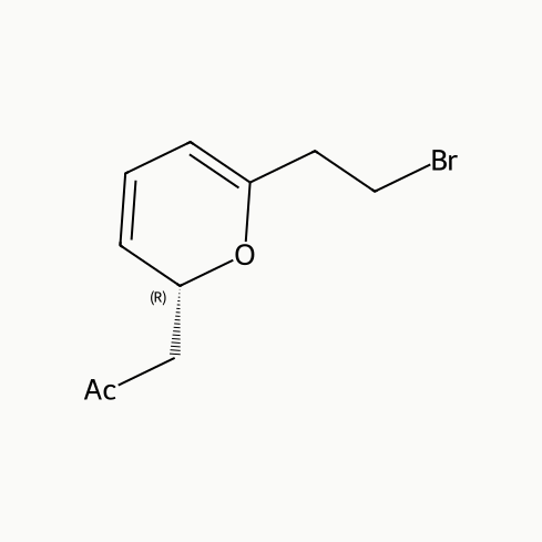 CC(=O)C[C@@H]1C=CC=C(CCBr)O1